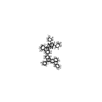 c1ccc(-c2nc(-c3ccccc3)nc(-n3c4ccccc4c4cc(-c5ccc6c(c5)c5c7cccc8c7c(cc5n6-c5ccccc5)-c5ccccc5-8)ccc43)n2)cc1